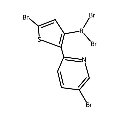 BrB(Br)c1cc(Br)sc1-c1ccc(Br)cn1